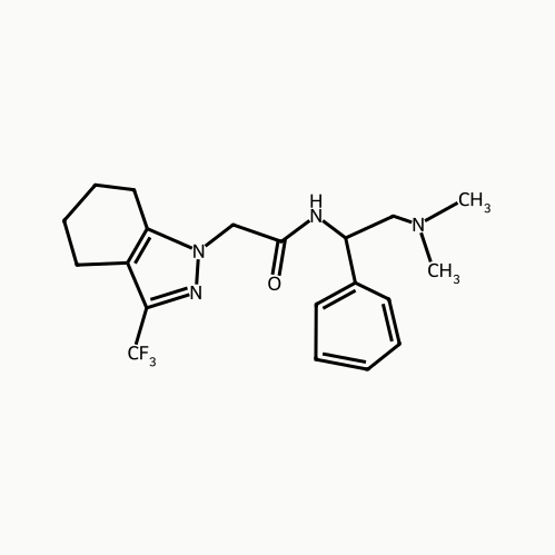 CN(C)CC(NC(=O)Cn1nc(C(F)(F)F)c2c1CCCC2)c1ccccc1